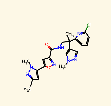 Cc1cc(-c2cc(C(=O)NCC(C)(c3cnn(C)c3)c3cccc(Cl)n3)no2)n(C)n1